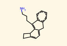 NCCCC1=C2C(=CC=C3CCC32)Cc2ccccc21